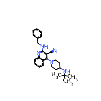 CC(C)(C)NC1CCN(c2c(C#N)c(NCc3ccccc3)nc3ccccc23)CC1